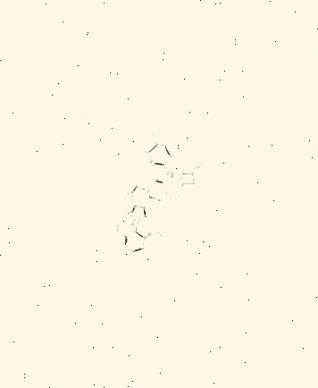 N#Cc1cccc(Cl)c1-n1cc2c(O[C@@H](CN3CC(O)C3)C(=O)Nc3ccc(F)cn3)ncnc2n1